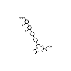 C=C(C)C(=O)OCC(CCOC(=O)C(=C)CO)C1CCC(C2CCC(c3ccc(-c4ccc(CCCCC)cc4CC)cc3CC)CC2)CC1